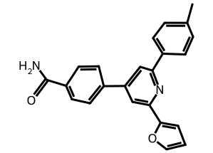 Cc1ccc(-c2cc(-c3ccc(C(N)=O)cc3)cc(-c3ccco3)n2)cc1